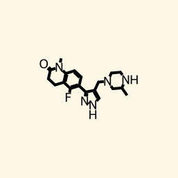 CC1CN(Cc2c[nH]nc2-c2ccc3c(c2F)CCC(=O)N3C)CCN1